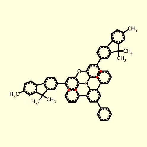 Cc1ccc2c(c1)C(C)(C)c1cc(-c3ccc4c(c3)Oc3cc(-c5ccc6c(c5)C(C)(C)c5cc(C)ccc5-6)ccc3N4c3c(-c4ccccc4)cc(-c4ccccc4)cc3-c3ccccc3)ccc1-2